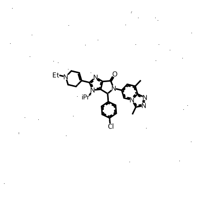 CCN1CC=C(c2nc3c(n2C(C)C)C(c2ccc(Cl)cc2)N(c2cc(C)c4nnc(C)n4c2)C3=O)CC1